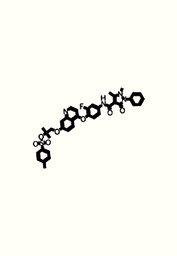 Cc1ccc(S(=O)(=O)OC(C)(C)COc2ccc3c(Oc4ccc(NC(=O)c5c(C)n(C)n(-c6ccccc6)c5=O)cc4F)ccnc3c2)cc1